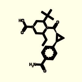 CCC1CN(C(=O)O)CC(C(C)(C)C)N1C(=O)[C@@H]1C[C@H]1c1ccc(C(N)=O)cc1